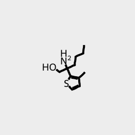 CCCCC(N)(CO)c1sccc1C